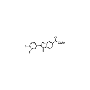 COC(=O)c1ccc2[nH]c(-c3ccc(F)c(F)c3)cc2c1